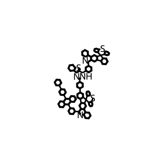 c1ccc(-c2ccc(-c3c4ccccc4c(-c4cccc(-c5nc6ccccc6c6cc7c(cc56)-c5ccc(-c6ccc(C8=Nc9c(sc%10ccccc9%10)C(c9cccc(-c%10nc%11ccccc%11c%11cc%12c(cc%10%11)-c%10ccccc%10C%12%10c%11ccccc%11Sc%11ccccc%11%10)c9)N8)cc6)cc5C75c6ccccc6Sc6ccccc65)c4)c4ccccc34)cc2)cc1